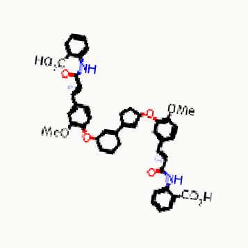 COc1cc(/C=C/C(=O)Nc2ccccc2C(=O)O)ccc1OC1CCCC(C2CCC(Oc3cc(/C=C/C(=O)Nc4ccccc4C(=O)O)ccc3OC)C2)C1